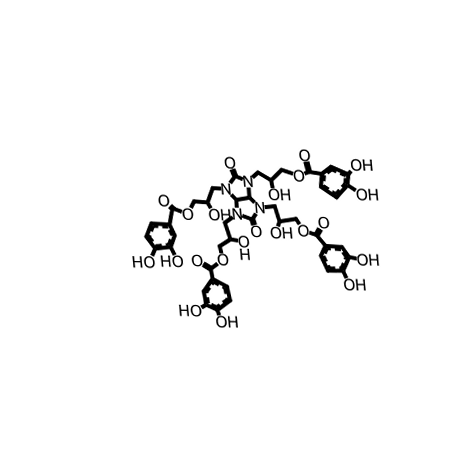 O=C(OCC(O)CN1C(=O)N(CC(O)COC(=O)c2ccc(O)c(O)c2)C2C1N(CC(O)COC(=O)c1ccc(O)c(O)c1)C(=O)N2CC(O)COC(=O)c1ccc(O)c(O)c1)c1ccc(O)c(O)c1